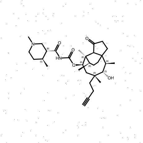 C#CCC[C@]1(C)C[C@@H](OC(=O)NC(=O)[C@H]2CN(C)CC[C@@H]2C)[C@@]2(C)C3C(=O)CCC3(CC[C@H]2C)[C@@H](C)[C@@H]1O